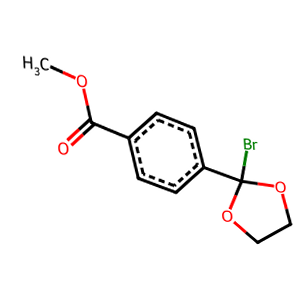 COC(=O)c1ccc(C2(Br)OCCO2)cc1